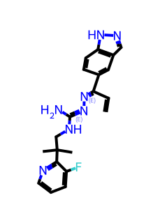 C=C/C(=N\N=C(/N)NCC(C)(C)c1ncccc1F)c1ccc2[nH]ncc2c1